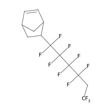 FC(F)(F)CC(F)(F)C(F)(F)C(F)(F)C(F)(F)C1CC2C=CC1C2